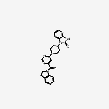 O=C(c1cc(N2CCC(n3c(=O)[nH]c4ncccc43)CC2)ncn1)N1CCc2cnccc21